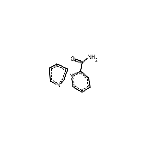 NC(=O)c1ccccn1.c1ccncc1